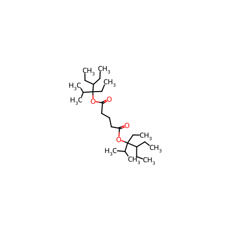 CCC(CC)C(CC)(OC(=O)CCCC(=O)OC(CC)(C(C)C)C(CC)CC)C(C)C